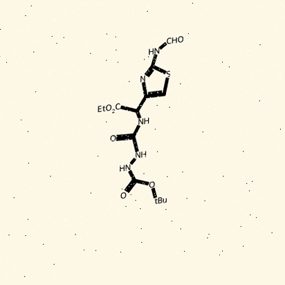 CCOC(=O)C(NC(=O)NNC(=O)OC(C)(C)C)c1csc(NC=O)n1